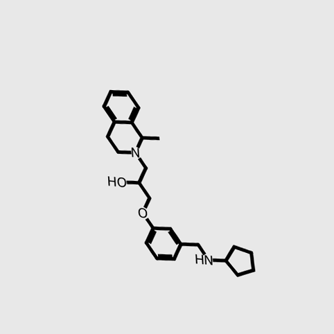 CC1c2ccccc2CCN1CC(O)COc1cccc(CNC2CCCC2)c1